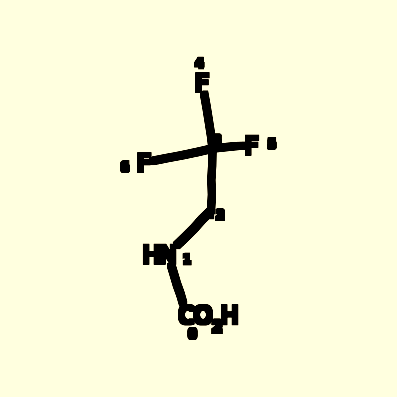 O=C(O)N[CH]C(F)(F)F